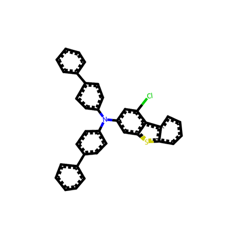 Clc1cc(N(c2ccc(-c3ccccc3)cc2)c2ccc(-c3ccccc3)cc2)cc2sc3ccccc3c12